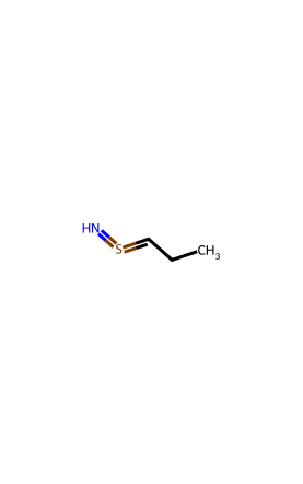 CCC=S=N